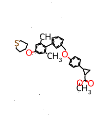 COC(=O)C1CC1c1ccc(OCc2cccc(-c3c(C)cc(OC4CCSCC4)cc3C)c2)cc1